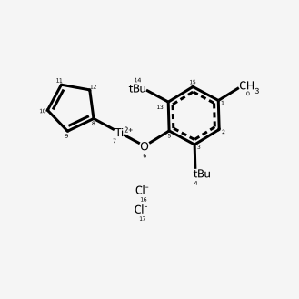 Cc1cc(C(C)(C)C)c([O][Ti+2][C]2=CC=CC2)c(C(C)(C)C)c1.[Cl-].[Cl-]